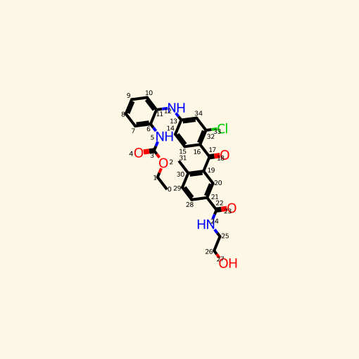 CCOC(=O)Nc1ccccc1Nc1ccc(C(=O)c2cc(C(=O)NCCO)ccc2C)c(Cl)c1